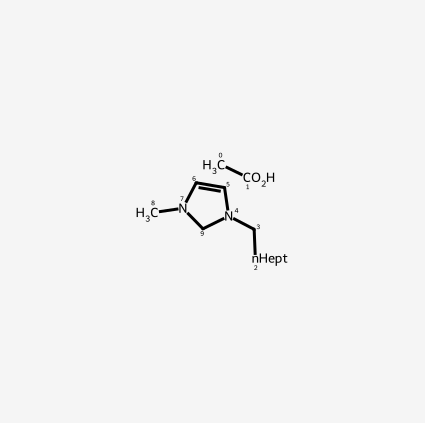 CC(=O)O.CCCCCCCCN1C=CN(C)C1